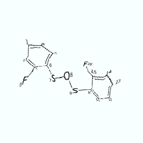 Fc1ccccc1SOSc1ccccc1F